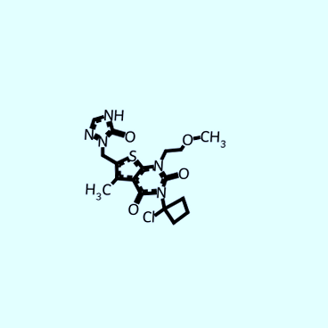 COCCn1c(=O)n(C2(Cl)CCC2)c(=O)c2c(C)c(Cn3nc[nH]c3=O)sc21